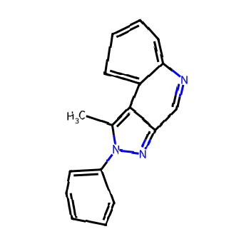 Cc1c2c(cnc3ccccc32)nn1-c1ccccc1